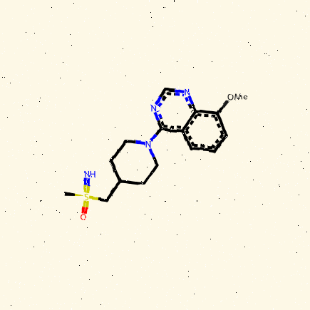 COc1cccc2c(N3CCC(C[S@@](C)(=N)=O)CC3)ncnc12